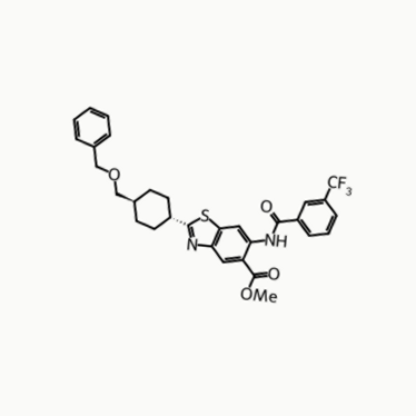 COC(=O)c1cc2nc([C@H]3CC[C@H](COCc4ccccc4)CC3)sc2cc1NC(=O)c1cccc(C(F)(F)F)c1